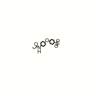 CCC(=O)Nc1ccc(Oc2ccc(S(C)(=O)=O)cc2)cc1